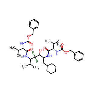 CC(C)C(NC(=O)[C@@H](NC(=O)OCc1ccccc1)C(C)C)C(F)(F)C(O)C(CC1CCCCC1)NC(=O)[C@@H](NC(=O)OCc1ccccc1)C(C)C